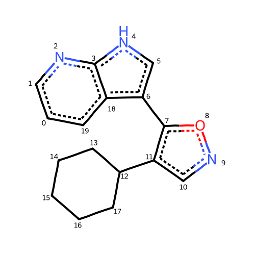 c1cnc2[nH]cc(-c3oncc3C3CCCCC3)c2c1